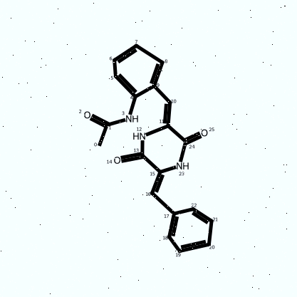 CC(=O)Nc1ccccc1C=c1[nH]c(=O)c(=Cc2ccccc2)[nH]c1=O